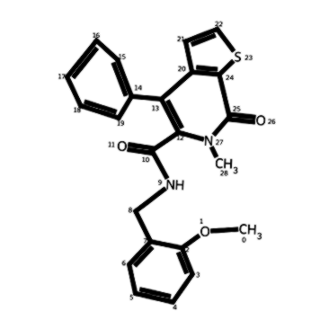 COc1ccccc1CNC(=O)c1c(-c2ccccc2)c2ccsc2c(=O)n1C